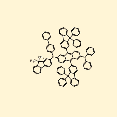 CC1(C)c2ccccc2-c2ccc(N(c3ccc(-c4ccccc4)cc3)c3ccc4c(-c5ccc6c(c5)C(c5ccccc5)(c5ccccc5)c5ccccc5-6)c5cc(N(c6ccccc6)c6ccccc6)ccc5c(-c5ccc6c(c5)C(c5ccccc5)(c5ccccc5)c5ccccc5-6)c4c3)cc21